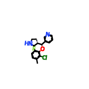 Cc1ccc(F)c(O[C@@H](c2cccnc2)[C@H]2CCNC2)c1Cl